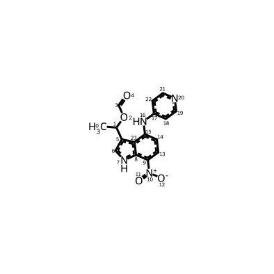 CC(OC=O)c1c[nH]c2c([N+](=O)[O-])ccc(Nc3ccncc3)c12